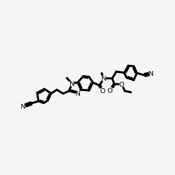 CCOC(=O)C(Cc1ccc(C#N)cc1)N(C)C(=O)c1ccc2c(c1)nc(CCc1ccc(C#N)cc1)n2C